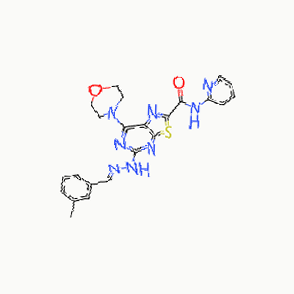 Cc1cccc(/C=N/Nc2nc(N3CCOCC3)c3nc(C(=O)Nc4ccccn4)sc3n2)c1